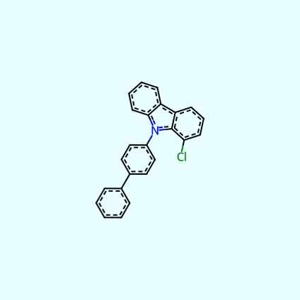 Clc1cccc2c3ccccc3n(-c3ccc(-c4ccccc4)cc3)c12